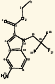 CCOC(=O)c1cc2cc(N)ccc2n1CC(F)(F)F